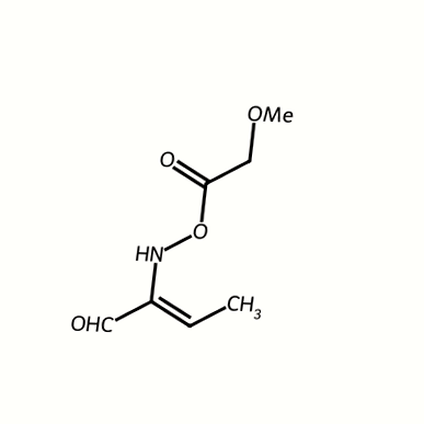 CC=C(C=O)NOC(=O)COC